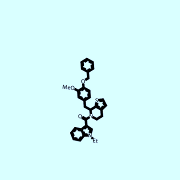 CCn1cc(C(=O)N2CCc3ccsc3C2Cc2ccc(OCc3ccccc3)c(OC)c2)c2ccccc21